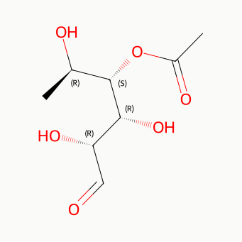 CC(=O)O[C@H]([C@H](O)[C@@H](O)C=O)[C@@H](C)O